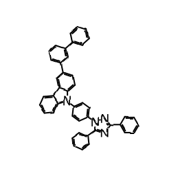 c1ccc(-c2cccc(-c3ccc4c(c3)c3ccccc3n4-c3ccc(-n4nc(-c5ccccc5)nc4-c4ccccc4)cc3)c2)cc1